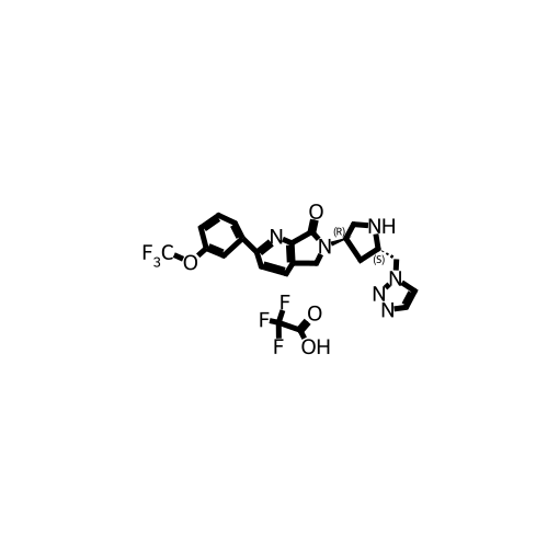 O=C(O)C(F)(F)F.O=C1c2nc(-c3cccc(OC(F)(F)F)c3)ccc2CN1[C@H]1CN[C@H](Cn2ccnn2)C1